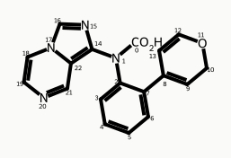 O=C(O)N(c1ccccc1C1=CCOC=C1)c1ncn2ccncc12